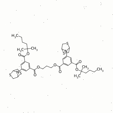 CCCCC(C)(C)OC(=O)c1cc(C(=O)OCCCOC(=O)c2cc(C(=O)OC(C)(C)CCCC)cc(N3C4CSC3CS4)c2)cc(N2C3CSC2CS3)c1